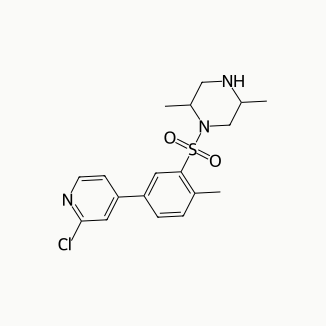 Cc1ccc(-c2ccnc(Cl)c2)cc1S(=O)(=O)N1CC(C)NCC1C